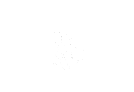 Cc1ccc(-c2noc(CO)c2-c2ccc(S(N)(=O)=O)c(F)c2)cc1OC(F)(F)F